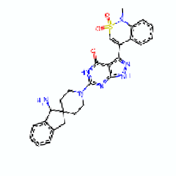 CN1c2ccccc2C(c2n[nH]c3nc(N4CCC5(CC4)Cc4ccccc4[C@H]5N)[nH]c(=O)c23)=CS1(=O)=O